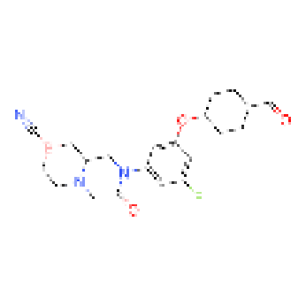 CN1CCB(C#N)CC1CN(C=O)c1cc(F)cc(OC2CCC(C=O)CC2)c1